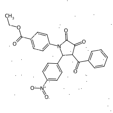 CCOC(=O)c1ccc(N2C(=O)C(=O)C(C(=O)c3ccccc3)C2c2ccc([N+](=O)[O-])cc2)cc1